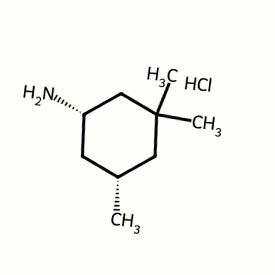 C[C@@H]1C[C@H](N)CC(C)(C)C1.Cl